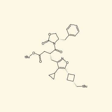 CC(C)(C)C[C@H]1C[C@@H](c2onc(C[C@H](CC(=O)OC(C)(C)C)C(=O)N3C(=O)OC[C@@H]3Cc3ccccc3)c2C2CC2)C1